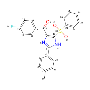 Cc1ccc(-c2nc(C(=O)c3ccc(F)cc3)c(S(=O)(=O)c3ccccc3)[nH]2)cc1